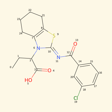 CCC(C(=O)O)n1c2c(sc1=NC(=O)c1cccc(Cl)c1)CCCC2